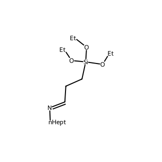 CCCCCCCN=CCC[Si](OCC)(OCC)OCC